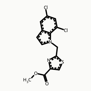 COC(=O)c1csc(Cn2ccc3cc(Cl)cc(Cl)c32)n1